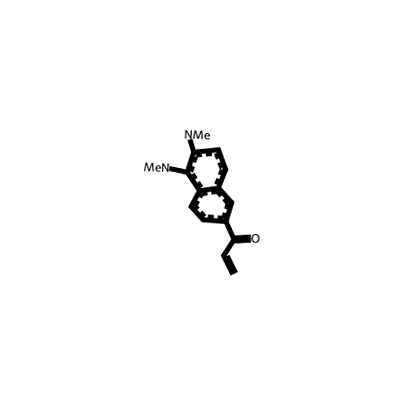 C=CC(=O)c1ccc2c(NC)c(NC)ccc2c1